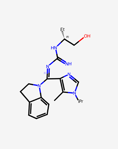 CC[C@H](CO)NC(=N)/N=C(\c1ncn(C(C)C)c1C)N1CCc2ccccc21